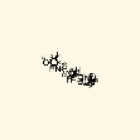 COc1cc(F)cc(NC(=O)CN2C[C@@H]3C[C@H]2CN3CC(=O)NC2(C(F)(F)F)CC2)c1